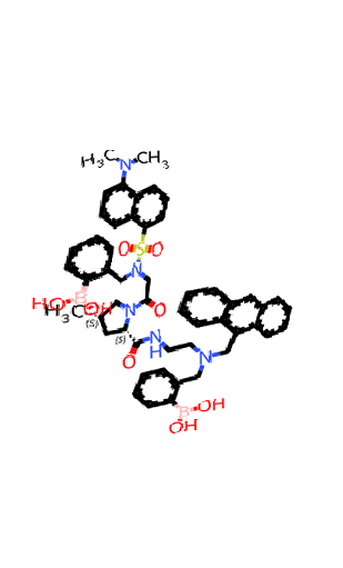 C[C@H]1C[C@@H](C(=O)NCCN(Cc2ccccc2B(O)O)Cc2c3ccccc3cc3ccccc23)N(C(=O)CN(Cc2ccccc2B(O)O)S(=O)(=O)c2cccc3c(N(C)C)cccc23)C1